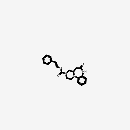 O=C1CC2CN(C(=O)OC=Cc3ccccc3)CCN2c2ccccc2N1